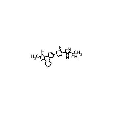 Cc1nc2c3ccccc3c3cc(-c4ccc(-c5cnc(C(C)C)[nH]5)c(F)c4)ccc3c2[nH]1